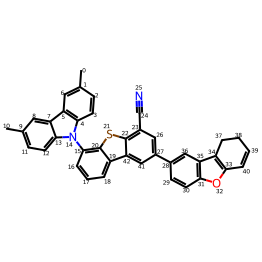 Cc1ccc2c(c1)c1cc(C)ccc1n2-c1cccc2c1sc1c(C#N)cc(-c3ccc4oc5c(c4c3)CCC=C5)cc12